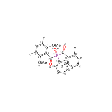 COc1c(C)cc(C)c(OC)c1C(=O)P(=O)(C(=O)c1c(C)cccc1C)c1ccccc1